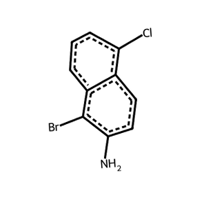 Nc1ccc2c(Cl)cccc2c1Br